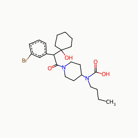 CCCCN(C(=O)O)C1CCN(C(=O)C(c2cccc(Br)c2)C2(O)CCCCC2)CC1